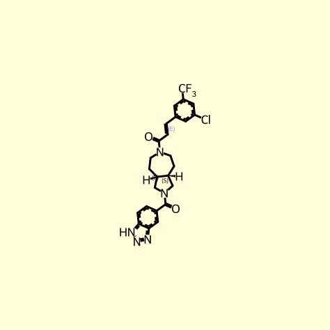 O=C(/C=C/c1cc(Cl)cc(C(F)(F)F)c1)N1CC[C@@H]2CN(C(=O)c3ccc4[nH]nnc4c3)C[C@@H]2CC1